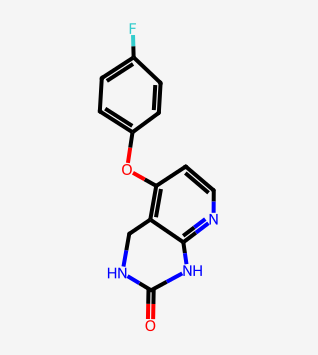 O=C1NCc2c(Oc3ccc(F)cc3)ccnc2N1